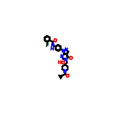 O=C(Nc1ccc(-n2ncc3c(=O)n(CC4(O)CCN(C(=O)C5CC5)CC4)cnc32)cc1)c1ccccc1F